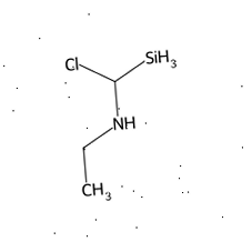 CCNC([SiH3])Cl